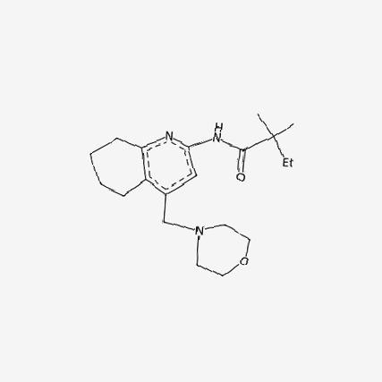 CCC(C)(C)C(=O)Nc1cc(CN2CCOCC2)c2c(n1)CCCC2